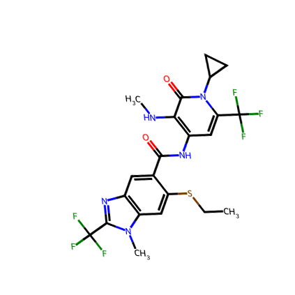 CCSc1cc2c(cc1C(=O)Nc1cc(C(F)(F)F)n(C3CC3)c(=O)c1NC)nc(C(F)(F)F)n2C